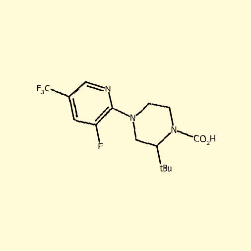 CC(C)(C)C1CN(c2ncc(C(F)(F)F)cc2F)CCN1C(=O)O